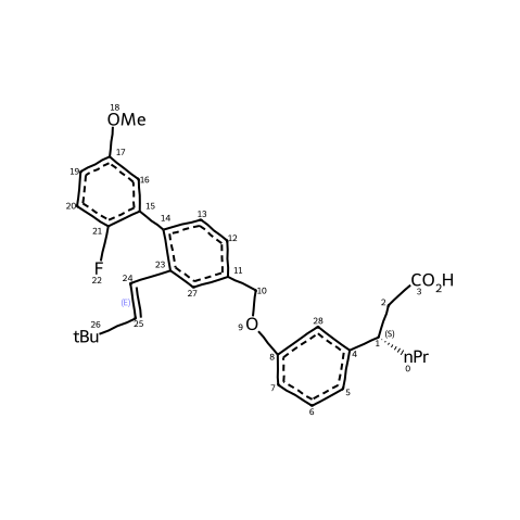 CCC[C@@H](CC(=O)O)c1cccc(OCc2ccc(-c3cc(OC)ccc3F)c(/C=C/C(C)(C)C)c2)c1